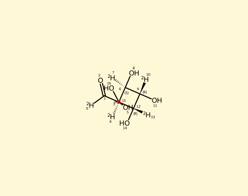 [2H]C(=O)[C@]([2H])(O)[C@@]([2H])(O)[C@]([2H])(O)[C@]([2H])(O)CO